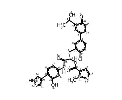 CC(C)n1cc(-c2ccc(Cl)c(C[C@H](NC(=O)c3ccnn3C)C(=O)Nc3ccc(-c4cn[nH]c4)c(O)c3)c2)ccc1=O